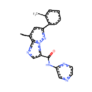 Cc1cc(-c2ccccc2C(F)(F)F)nn2c(C(=O)Nc3cnccn3)cnc12